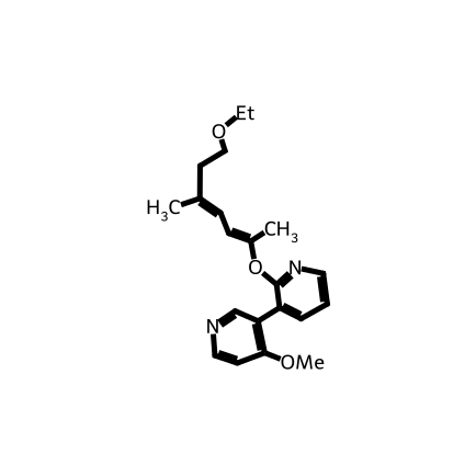 CCOCC/C(C)=C/C=C(\C)Oc1ncccc1-c1cnccc1OC